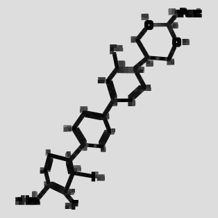 CCCCCCc1ccc(-c2ccc(-c3ccc(C4COC(CCCCC)OC4)c(F)c3)cc2)c(F)c1F